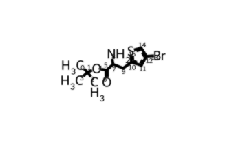 CC(C)(C)OC(=O)C(N)Cc1cc(Br)cs1